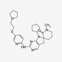 CN1CCCC2(Cc3cnc(Nc4ccc(OCCN5CCCC5)cn4)nc3N2C2CCCC2)C1=O